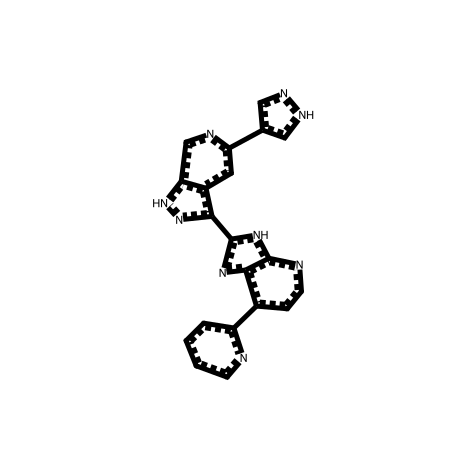 c1ccc(-c2ccnc3[nH]c(-c4n[nH]c5cnc(-c6cn[nH]c6)cc45)nc23)nc1